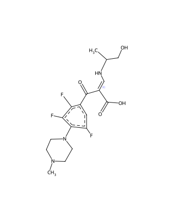 CC(CO)N/C=C(/C(=O)O)C(=O)c1cc(F)c(N2CCN(C)CC2)c(F)c1F